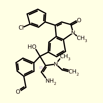 C=CN(C)/C(=C\N)C(O)(c1cccc(C=O)c1)c1ccc2c(c1)c(-c1cccc(Cl)c1)cc(=O)n2C